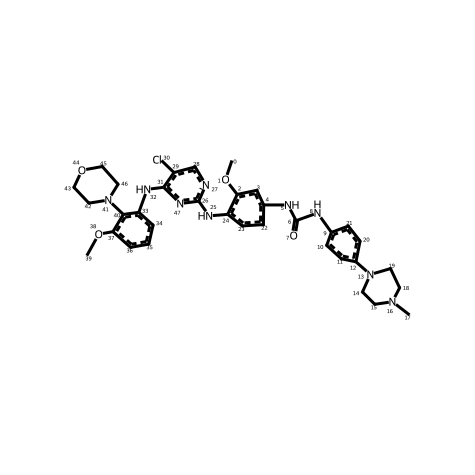 COc1cc(NC(=O)Nc2ccc(N3CCN(C)CC3)cc2)ccc1Nc1ncc(Cl)c(Nc2cccc(OC)c2N2CCOCC2)n1